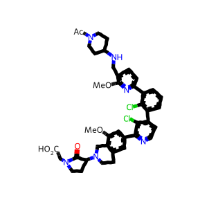 COc1cc(-c2nccc(-c3cccc(-c4ccc(CNC5CCN(C(C)=O)CC5)c(OC)n4)c3Cl)c2Cl)cc2c1CN(C1CCN(CC(=O)O)C1=O)CC2